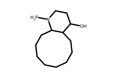 OC1CCN(P)C2CCCCCCCCC12